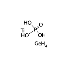 O=P(O)(O)O.[GeH4].[Ti]